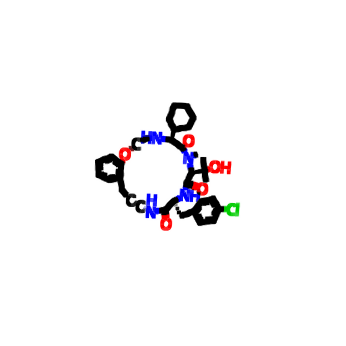 CN1C(=O)[C@H](C2CCCCC2)NCCOc2ccccc2CCCNC(=O)[C@@H](Cc2ccc(Cl)cc2)NC(=O)[C@@H]1C(C)(C)O